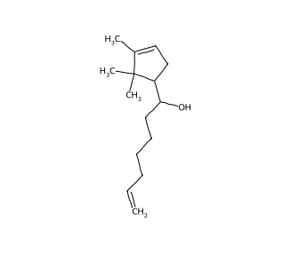 C=CCCCCC(O)C1CC=C(C)C1(C)C